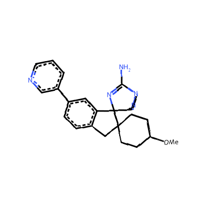 COC1CCC2(CC1)Cc1ccc(-c3cccnc3)cc1C21N=C(N)N2CCCN=C21